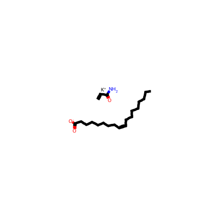 C=CC(N)=O.CCCCCCCC/C=C\CCCCCCCC(=O)[O-].[K+]